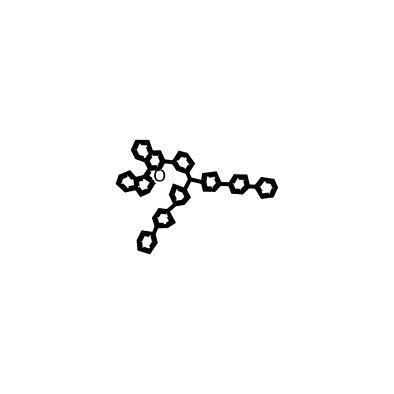 c1ccc(-c2ccc(-c3ccc(C(c4ccc(-c5ccc(-c6ccccc6)cc5)cc4)c4cccc(-c5cc6ccccc6c6c5oc5ccc7ccccc7c56)c4)cc3)cc2)cc1